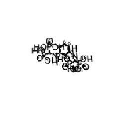 O=P(O)(O)C(Nc1cccc(NC(P(=O)(O)O)P(=O)(O)O)c1)P(=O)(O)O